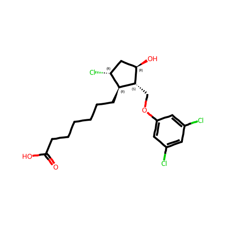 O=C(O)CCCCCC[C@@H]1[C@@H](COc2cc(Cl)cc(Cl)c2)[C@H](O)C[C@H]1Cl